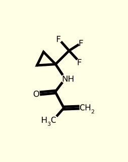 C=C(C)C(=O)NC1(C(F)(F)F)CC1